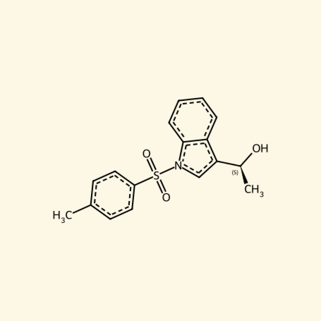 Cc1ccc(S(=O)(=O)n2cc([C@H](C)O)c3ccccc32)cc1